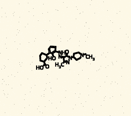 CCN1CCC(N2N=C(C)C(=NNc3cccc(C4CCCC(C(=O)O)C4)c3O)C2=O)CC1